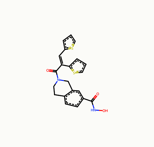 O=C(NO)c1ccc2c(c1)CN(C(=O)C(=Cc1cccs1)c1cccs1)CC2